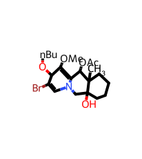 CCCCOC1C(Br)=CN2CC3(O)CCCCC3(C)C(OC(C)=O)C2=C1OC